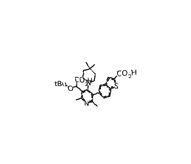 Cc1nc(C)c(C(OC(C)(C)C)C(=O)O)c(N2CCC(C)(C)CC2)c1-c1ccc2sc(C(=O)O)cc2c1